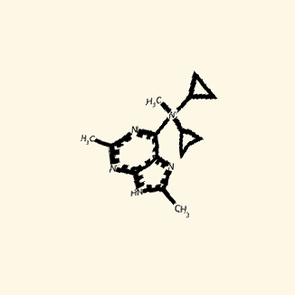 Cc1nc([N+](C)(C2CC2)C2CC2)c2nc(C)[nH]c2n1